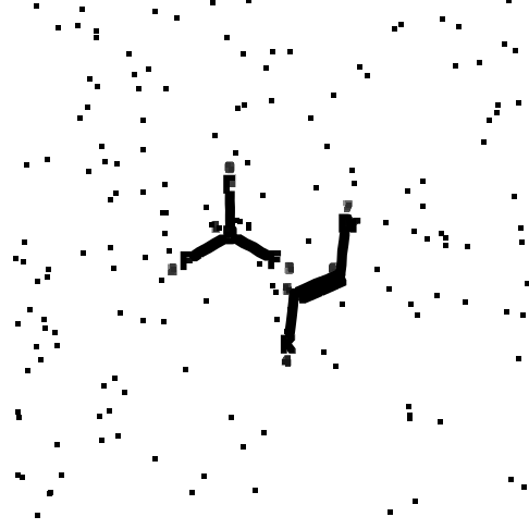 FB(F)F.[K]/[CH]=C/Br